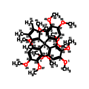 COc1cc(OC)c([Si](C2=C(C)C(C)=C(C)C2C)(c2c(OC)cc(OC)c(OC)c2OC)c2c(OC)cc(OC)c(OC)c2OC)c(OC)c1OC